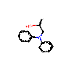 [CH2]C(O)CN(c1ccccc1)c1ccccc1